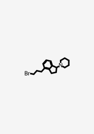 BrCCCc1cccc2c1CCC2N1CCCCC1